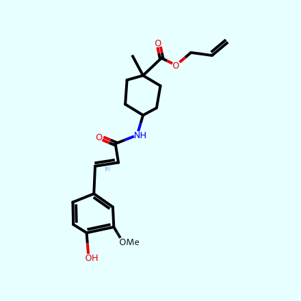 C=CCOC(=O)C1(C)CCC(NC(=O)/C=C/c2ccc(O)c(OC)c2)CC1